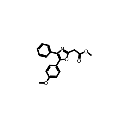 COC(=O)Cc1nc(-c2ccccc2)c(-c2ccc(OC)cc2)o1